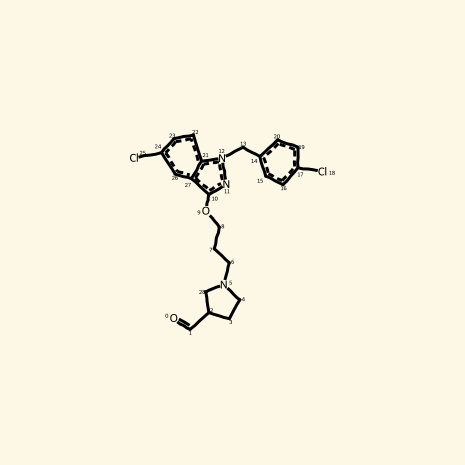 O=CC1CCN(CCCOc2nn(Cc3ccc(Cl)cc3)c3ccc(Cl)cc23)C1